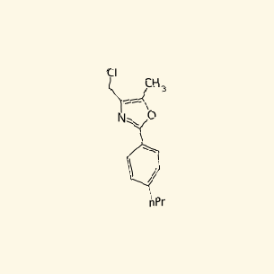 CCCc1ccc(-c2nc(CCl)c(C)o2)cc1